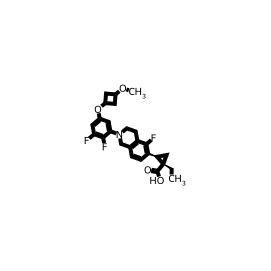 CC[C@]1(C(=O)O)C[C@@H]1c1ccc2c(c1F)CCN(c1cc(OC3CC(OC)C3)cc(F)c1F)C2